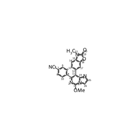 COc1nc(-c2ccc(C#N)cc2)c(-c2ccc3c(c2)oc(=O)n3C)c2nccn12